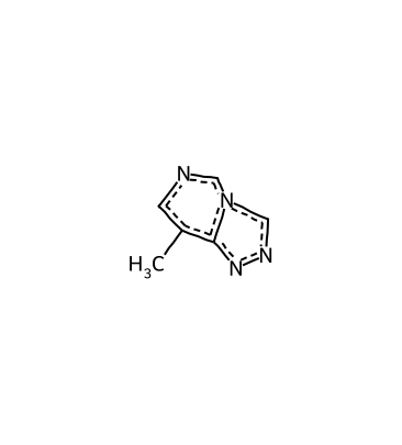 Cc1cncn2cnnc12